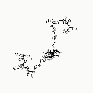 C=C(C)C(=O)OC(C)COC(C)COCCOCCOC1=CC2=CC=C1C2C1(C)C2=CC=C1C(OCCOCCOCC(C)OCC(C)OC(=O)C(=C)C)=C2